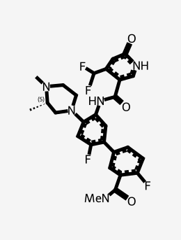 CNC(=O)c1cc(-c2cc(NC(=O)c3c[nH]c(=O)cc3C(F)F)c(N3CCN(C)[C@@H](C)C3)cc2F)ccc1F